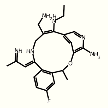 CCN/C1=C(\CN)CN/C(=C\C(C)=N)c2ccc(F)cc2C(C)Oc2cc1cnc2N